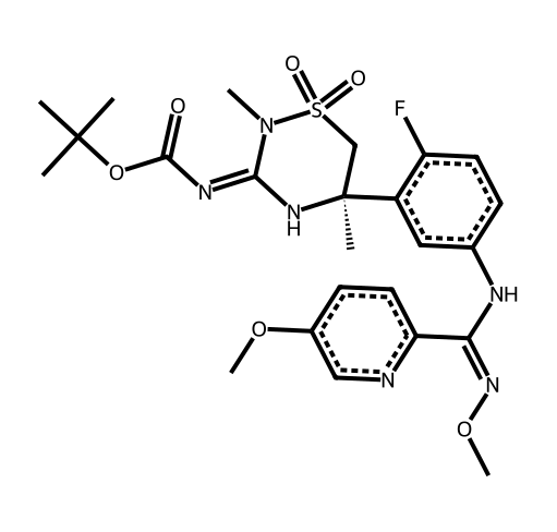 CO/N=C(/Nc1ccc(F)c([C@]2(C)CS(=O)(=O)N(C)/C(=N\C(=O)OC(C)(C)C)N2)c1)c1ccc(OC)cn1